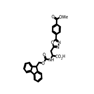 COC(=O)c1ccc(-c2nnc(CC(NC(=O)OCC3c4ccccc4-c4ccccc43)C(=O)O)o2)cc1